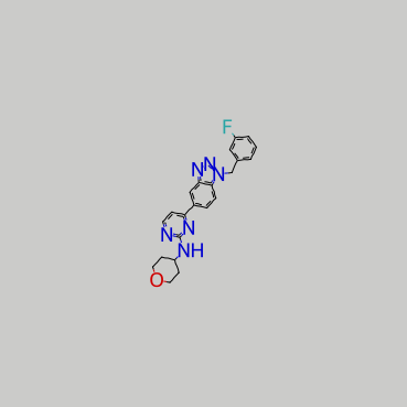 Fc1cccc(Cn2nnc3cc(-c4ccnc(NC5CCOCC5)n4)ccc32)c1